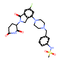 CS(=O)(=O)Nc1cccc(CN2CCN(c3cc(F)cc4c3CN(C3CCC(=O)NC3=O)C4=O)CC2)c1